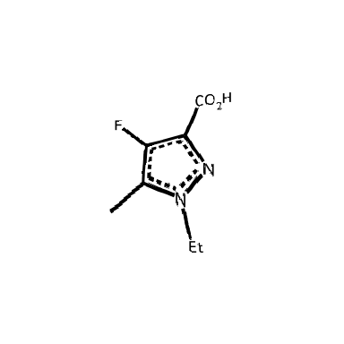 CCn1nc(C(=O)O)c(F)c1C